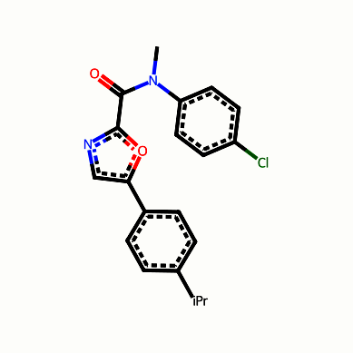 CC(C)c1ccc(-c2cnc(C(=O)N(C)c3ccc(Cl)cc3)o2)cc1